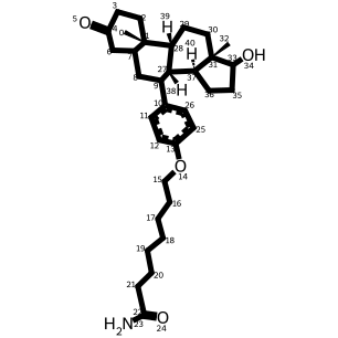 C[C@]12CCC(=O)CC1CC(c1ccc(OCCCCCCCC(N)=O)cc1)[C@@H]1[C@H]2CC[C@]2(C)C(O)CC[C@@H]12